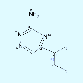 C/C=C(\C)c1cnnc(N)n1